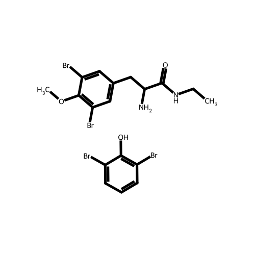 CCNC(=O)C(N)Cc1cc(Br)c(OC)c(Br)c1.Oc1c(Br)cccc1Br